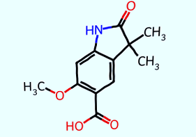 COc1cc2c(cc1C(=O)O)C(C)(C)C(=O)N2